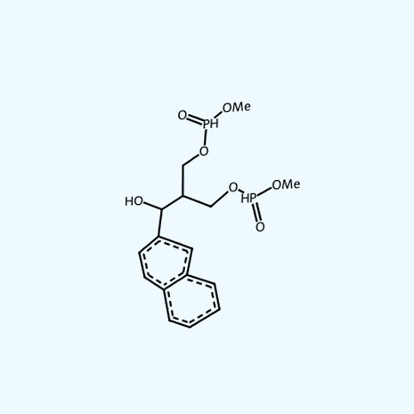 CO[PH](=O)OCC(CO[PH](=O)OC)C(O)c1ccc2ccccc2c1